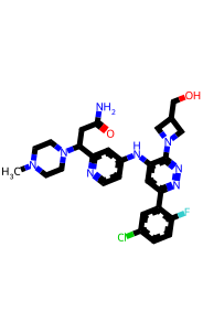 CN1CCN(C(CC(N)=O)c2cc(Nc3cc(-c4cc(Cl)ccc4F)nnc3N3CC(CO)C3)ccn2)CC1